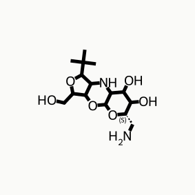 CC(C)(C)C1OC(CO)C2OC3O[C@@H](CN)C(O)C(O)C3NC21